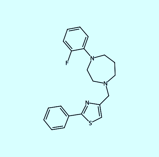 Fc1ccccc1N1CCCN(Cc2csc(-c3ccccc3)n2)CC1